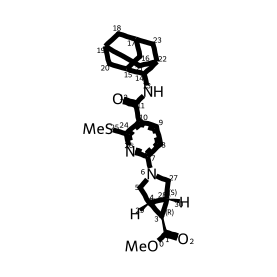 COC(=O)[C@H]1[C@@H]2CN(c3ccc(C(=O)NC4C5CC6CC(C5)CC4C6)c(SC)n3)C[C@@H]21